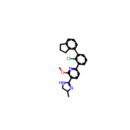 COc1nc(-c2cccc(-c3cccc4c3CCC4)c2Cl)ccc1C1=NC(C)CN1